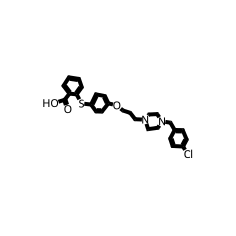 O=C(O)c1ccccc1Sc1ccc(OCCCN2CCN(Cc3ccc(Cl)cc3)CC2)cc1